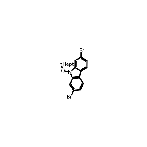 CCCCCCCOn1c2cc(Br)ccc2c2ccc(Br)cc21